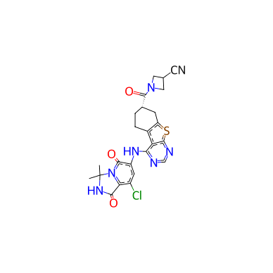 CC1(C)NC(=O)c2c(Cl)cc(Nc3ncnc4sc5c(c34)CC[C@H](C(=O)N3CC(C#N)C3)C5)c(=O)n21